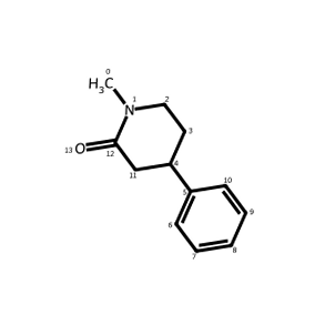 CN1CCC(c2ccccc2)CC1=O